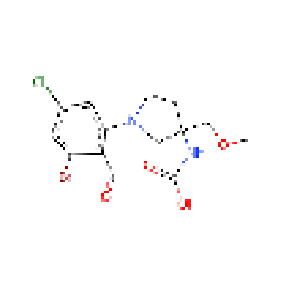 COCC1(NC(=O)O)CCN(c2cc(Cl)cc(Br)c2C=O)C1